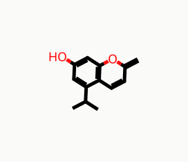 C=C1C=Cc2c(cc(O)cc2C(C)C)O1